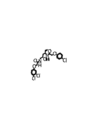 C=CC(C[C@H](O)CNC(=O)COc1ccc(Cl)c(Cl)c1)NC(=O)COc1ccc(Cl)cc1